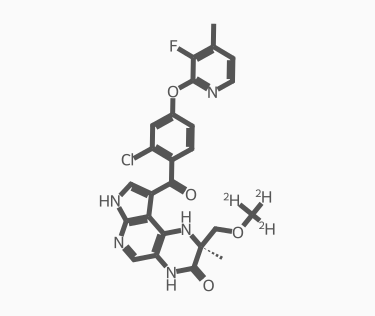 [2H]C([2H])([2H])OC[C@]1(C)Nc2c(cnc3[nH]cc(C(=O)c4ccc(Oc5nccc(C)c5F)cc4Cl)c23)NC1=O